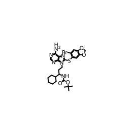 CC(C)(C)OC(=O)NC(CCn1c(Sc2cc3c(cc2Br)OCO3)nc2c(N)ncnc21)C1CCCCC1